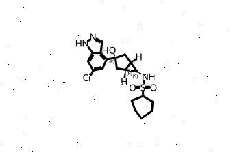 O=S(=O)(N[C@@H]1[C@@H]2C[C@@](O)(c3cc(Cl)cc4[nH]ncc34)C[C@@H]21)C1CCCCC1